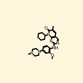 COc1cc(N2CCN(C)CC2)ccc1Nc1ncc2cc(C)c(=O)n(C3CCCCC3)c2n1